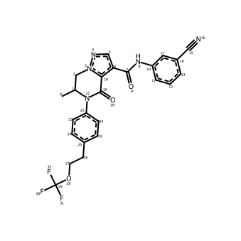 CC1Cn2ncc(C(=O)Nc3cccc(C#N)c3)c2C(=O)N1c1ccc(CCOC(F)(F)F)cc1